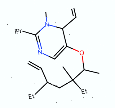 C=CC(CC)CC(C)(CC)C(C)OC1=CN=C(C(C)C)N(C)C1C=C